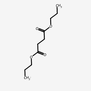 [CH2]CCOC(=O)CCC(=O)OCCC